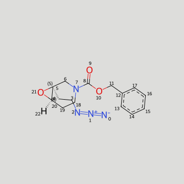 [N-]=[N+]=NCC[C@]12CN(C(=O)OCc3ccccc3)CC[C@H]1O2